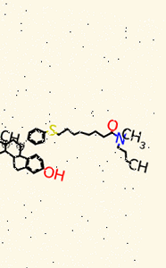 CCCCN(C)C(=O)CCCCCCCSc1ccc([C@H]2C[C@@]3(C)C(CC[C@@H]3O)C3CCc4cc(O)ccc4C32)cc1